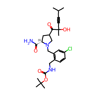 CC(C)C#CC(C)(O)C(=O)C1C[C@@H](C(N)=O)N(Cc2cc(Cl)ccc2CNC(=O)OC(C)(C)C)C1